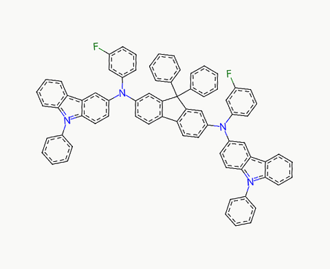 Fc1cccc(N(c2ccc3c(c2)C(c2ccccc2)(c2ccccc2)c2cc(N(c4cccc(F)c4)c4ccc5c(c4)c4ccccc4n5-c4ccccc4)ccc2-3)c2ccc3c(c2)c2ccccc2n3-c2ccccc2)c1